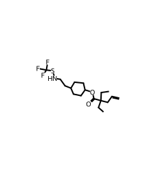 C=CCC(CC)(CC)C(=O)OC1CCC(CCNSC(F)(F)F)CC1